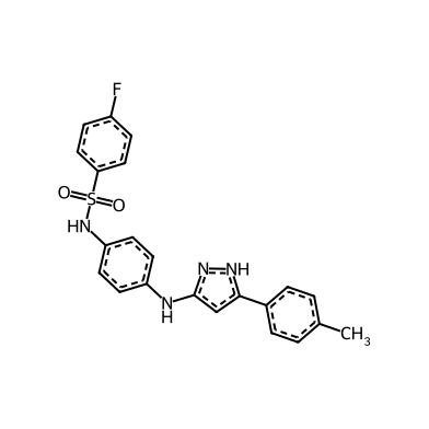 Cc1ccc(-c2cc(Nc3ccc(NS(=O)(=O)c4ccc(F)cc4)cc3)n[nH]2)cc1